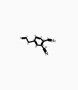 C=CCc1ccc(C#N)c(C#N)c1